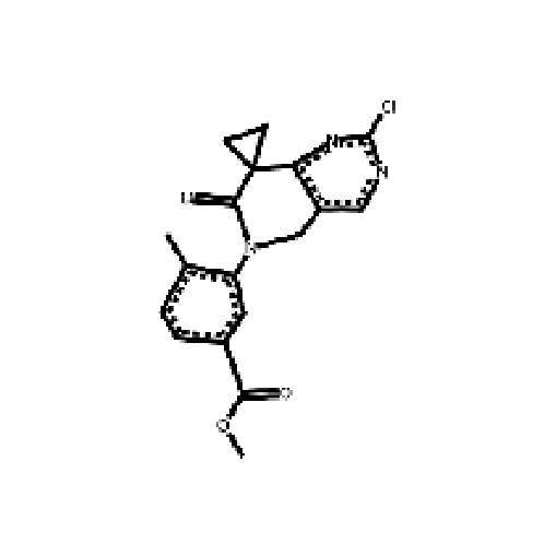 COC(=O)c1ccc(C)c(N2Cc3cnc(Cl)nc3C3(CC3)C2=O)c1